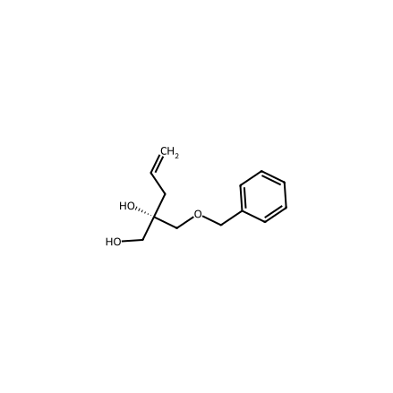 C=CC[C@](O)(CO)COCc1ccccc1